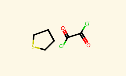 C1CCSC1.O=C(Cl)C(=O)Cl